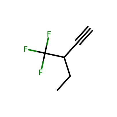 C#CC(CC)C(F)(F)F